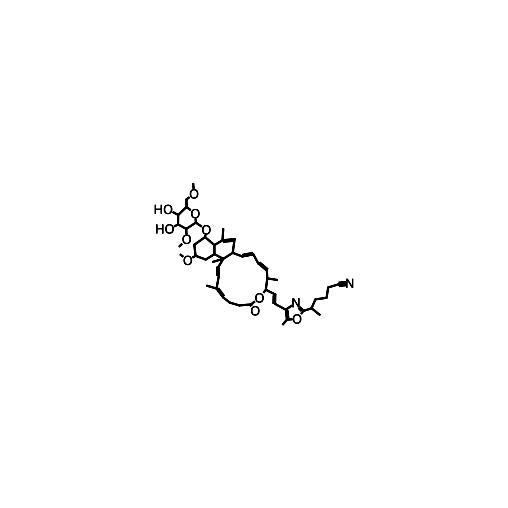 COCC1OC(OC2CC(OC)CC3C2C(C)=CC2/C=C/C=C/C(C)C(/C=C/c4nc(C(C)CCCC#N)oc4C)OC(=O)CC/C=C(C)\C=C\C23C)C(OC)C(O)C1O